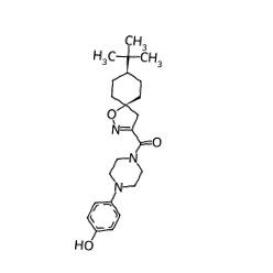 CC(C)(C)[C@H]1CC[C@@]2(CC1)CC(C(=O)N1CCN(c3ccc(O)cc3)CC1)=NO2